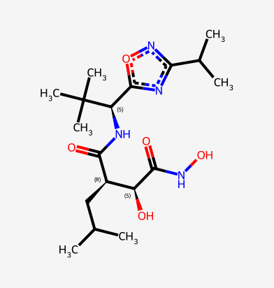 CC(C)C[C@@H](C(=O)N[C@H](c1nc(C(C)C)no1)C(C)(C)C)[C@H](O)C(=O)NO